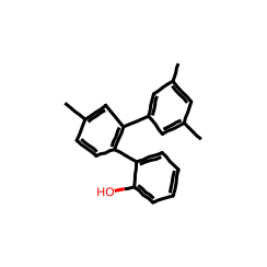 Cc1cc(C)cc(-c2cc(C)ccc2-c2ccccc2O)c1